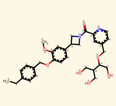 CCc1ccc(COc2ccc(C3CN(C(=O)c4cc(COC(CO)C(CO)CO)ccn4)C3)cc2OC)cc1